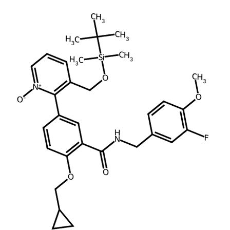 COc1ccc(CNC(=O)c2cc(-c3c(CO[Si](C)(C)C(C)(C)C)ccc[n+]3[O-])ccc2OCC2CC2)cc1F